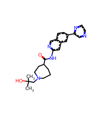 CC(C)(O)CN1CCCC(C(=O)Nc2cc3cc(-c4cnccn4)ccc3cn2)CC1